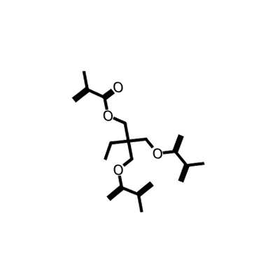 C=C(C)C(=C)OCC(CC)(COC(=C)C(=C)C)COC(=O)C(=C)C